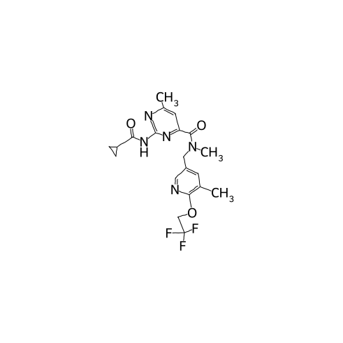 Cc1cc(C(=O)N(C)Cc2cnc(OCC(F)(F)F)c(C)c2)nc(NC(=O)C2CC2)n1